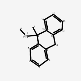 CNC1(C)c2ccccc2Cc2ccccc21